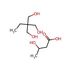 CC(O)CC(=O)O.CCC(CO)(CO)CO